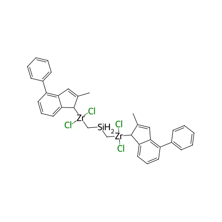 CC1=Cc2c(-c3ccccc3)cccc2[CH]1[Zr]([Cl])([Cl])[CH2][SiH2][CH2][Zr]([Cl])([Cl])[CH]1C(C)=Cc2c(-c3ccccc3)cccc21